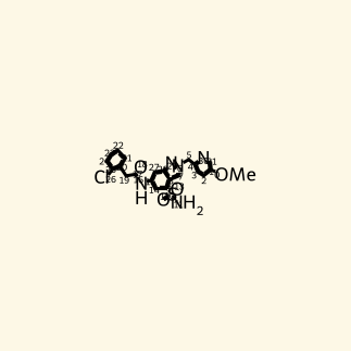 COc1ccc(Cn2cc3c(S(N)(=O)=O)cc(NC(=O)Cc4ccccc4Cl)cc3n2)nc1